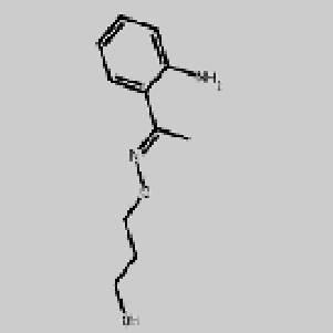 C/C(=N\OCCCO)c1ccccc1N